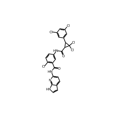 O=C(Nc1ccc2cc[nH]c2n1)c1cc(NC(=O)C2C(c3cc(Cl)cc(Cl)c3)C2(Cl)Cl)ccc1Cl